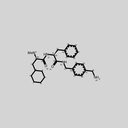 CN[C@H](CC1CCCCC1)C(=O)N[C@@H](Cc1ccccc1)C(=O)NCc1ccc(CN)cc1